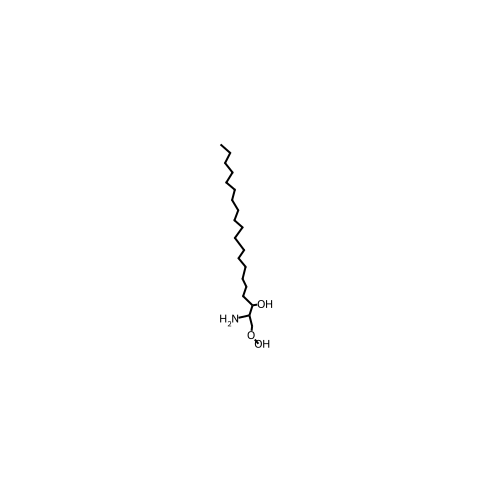 CCCCCCCCCCCCCCCCCC(O)C(N)COO